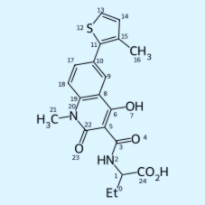 CCC(NC(=O)c1c(O)c2cc(-c3sccc3C)ccc2n(C)c1=O)C(=O)O